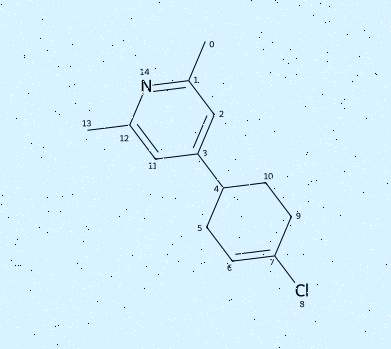 Cc1cc(C2CC=C(Cl)CC2)cc(C)n1